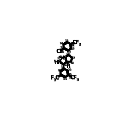 FC(F)(F)c1cc([C@H]2NSN3[C@H](c4cc(C(F)(F)F)ccc4Cl)CC[C@@H]23)cc(C(F)(F)F)c1